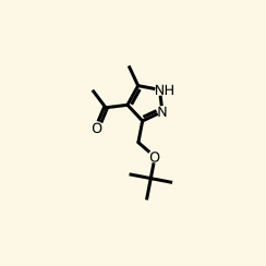 CC(=O)c1c(COC(C)(C)C)n[nH]c1C